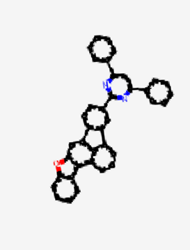 c1ccc(-c2cc(-c3ccccc3)nc(-c3ccc4c(c3)-c3cccc5c3c-4cc3oc4ccccc4c35)n2)cc1